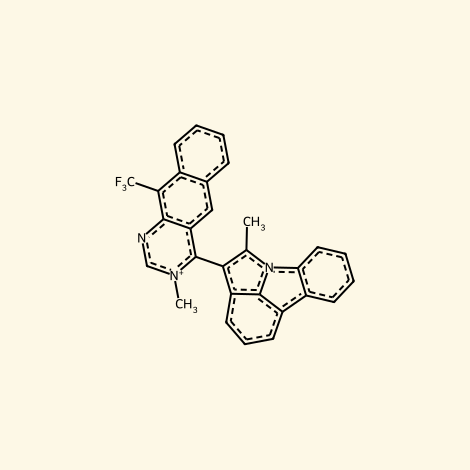 Cc1c(-c2c3cc4ccccc4c(C(F)(F)F)c3nc[n+]2C)c2cccc3c4ccccc4n1c23